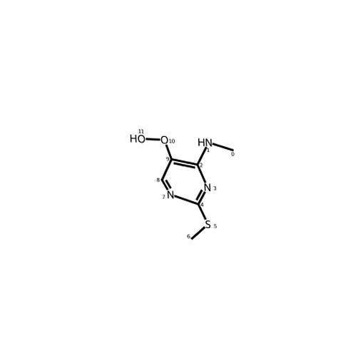 CNc1nc(SC)ncc1OO